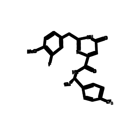 COc1ccc(Cc2nc(C(=O)N[C@@H](c3ccc(C(F)(F)F)cc3)C(C)(C)C)cc(=O)[nH]2)cc1F